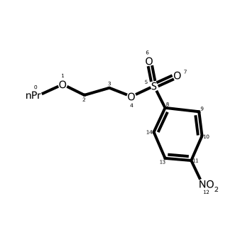 [CH2]CCOCCOS(=O)(=O)c1ccc([N+](=O)[O-])cc1